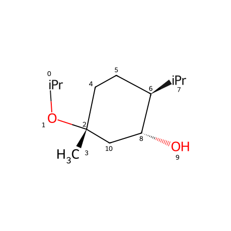 CC(C)O[C@]1(C)CC[C@@H](C(C)C)[C@H](O)C1